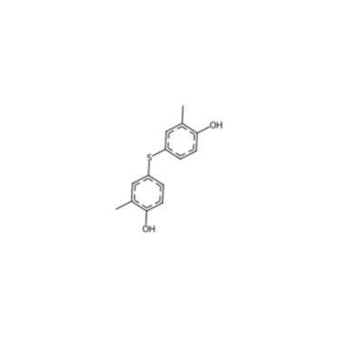 Cc1cc(Sc2ccc(O)c(C)c2)ccc1O